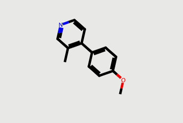 COc1ccc(-c2ccncc2C)cc1